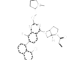 C=CC(=O)N1CCC2[C@H]1CN2c1nc(OC[C@@H]2CCCN2C)nc2c(F)c(-c3cccc4cccc(Cl)c34)ccc12